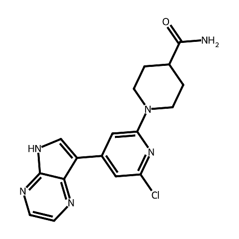 NC(=O)C1CCN(c2cc(-c3c[nH]c4nccnc34)cc(Cl)n2)CC1